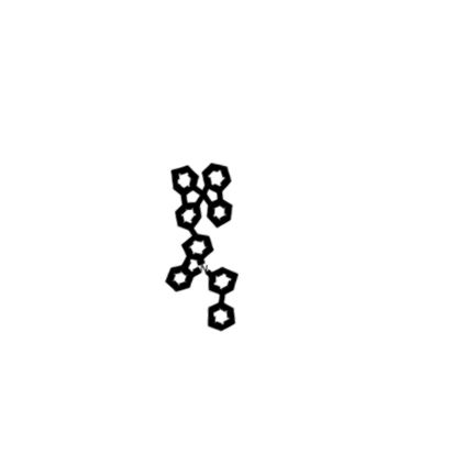 c1ccc(-c2cccc(-n3c4ccccc4c4cc(-c5ccc6c(c5)C5(c7ccccc7-c7ccccc75)c5ccccc5-6)ccc43)c2)cc1